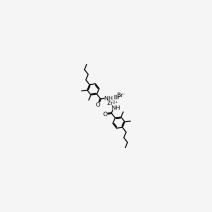 CCCCc1ccc(C(=O)[NH][Zr+2][NH]C(=O)c2ccc(CCCC)c(C)c2C)c(C)c1C.[Br-].[Br-]